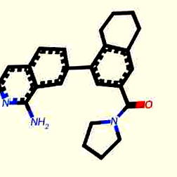 Nc1nccc2ccc(-c3cc(C(=O)N4CCCC4)cc4c3CCCC4)cc12